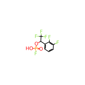 O=P(O)(F)OC(c1cccc(F)c1F)C(F)(F)F